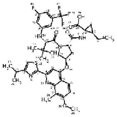 CC[C@@H]1C[C@]1(NC(=O)[C@@H]1C[C@@H](Oc2cc(-c3nc(C(C)C)cs3)nc3c(C)c(OC)ccc23)CN1C(=O)[C@@H](Nc1cc(F)cc(C(F)(F)F)c1)C(C)(C)C)C(=O)O